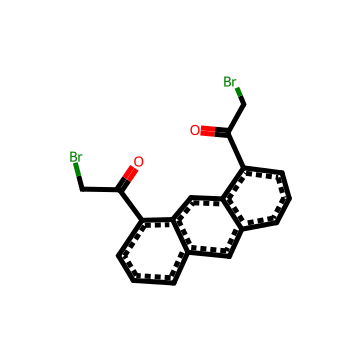 O=C(CBr)c1cccc2cc3cccc(C(=O)CBr)c3cc12